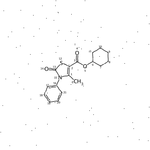 Cc1c(C(=O)OC2CCCCC2)sc(=O)n1-c1ccccc1